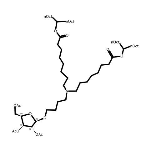 CCCCCCCCC(CCCCCCCC)OC(=O)CCCCCCCN(CCCCCCCC(=O)OC(CCCCCCCC)CCCCCCCC)CCCCO[C@@H]1O[C@H](COC(C)=O)[C@@H](OC(C)=O)[C@H]1OC(C)=O